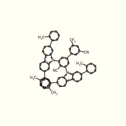 Cc1ccccc1-c1ccc2c3ccc(-c4ccccc4C)cc3n(-c3cc(-c4cc(C#N)cc(C(F)(F)F)c4)cc(-n4c5cc(-c6ccccc6C)ccc5c5ccc(-c6ccccc6C)cc54)c3C#N)c2c1